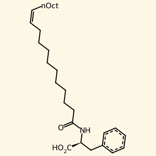 CCCCCCCC/C=C\CCCCCCCCCC(=O)N[C@@H](Cc1ccccc1)C(=O)O